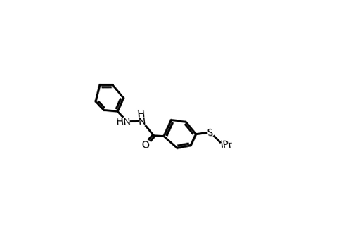 CC(C)Sc1ccc(C(=O)NNc2ccccc2)cc1